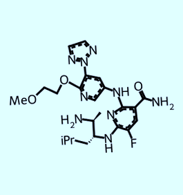 COCCOc1ncc(Nc2nc(N[C@H](CC(C)C)[C@H](C)N)c(F)cc2C(N)=O)cc1-n1nccn1